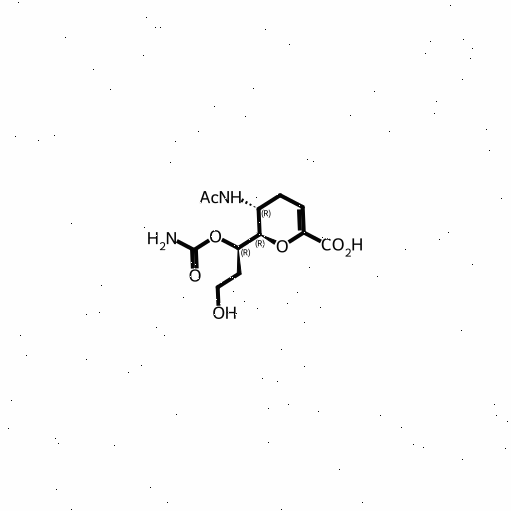 CC(=O)N[C@@H]1CC=C(C(=O)O)O[C@H]1[C@@H](CCO)OC(N)=O